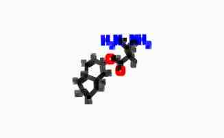 CC(C(=O)Oc1ccc2ccccc2c1)=C(N)N